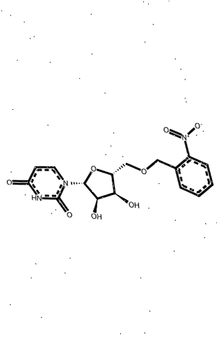 O=c1ccn([C@@H]2O[C@H](COCc3ccccc3[N+](=O)[O-])[C@@H](O)[C@H]2O)c(=O)[nH]1